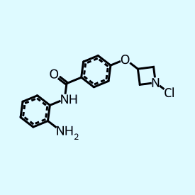 Nc1ccccc1NC(=O)c1ccc(OC2CN(Cl)C2)cc1